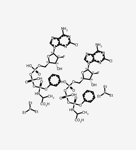 CC(NP(=O)(Oc1ccccc1)OP(=O)(O)OP(=O)(O)OC[C@H]1O[C@@H](n2cnc3c(N)nc(Cl)nc32)[C@@H](F)[C@@H]1O)C(=O)O.CC(NP(=O)(Oc1ccccc1)OP(=O)(O)OP(=O)(O)OC[C@H]1O[C@@H](n2cnc3c(N)nc(Cl)nc32)[C@@H](F)[C@@H]1O)C(=O)O.CCN(CC)CC.CCN(CC)CC